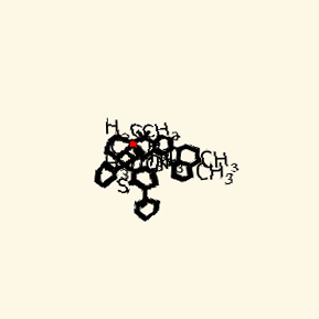 CC1(C)CCC(C)(C)c2c(N(c3cc(-c4ccccc4)c4c(c3)C3(c5ccccc5S4)C4CC5CC6CC3C64C5)c3cccc4c3C(C)(C)CCC4(C)C)cccc21